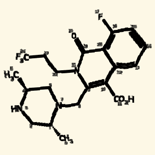 C[C@@H]1CN[C@@H](C)CN1Cc1c(C(=O)O)c2cccc(F)c2c(=O)n1CCC(F)(F)F